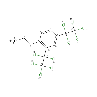 [CH2]CCc1ccc(C(Cl)(Cl)C(Cl)(Cl)Cl)cc1C(Cl)(Cl)C(Cl)(Cl)Cl